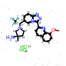 COc1cccc2ccc(-c3nnc4ccc([C@H](N5CCC(C)(N)C5)C(F)(F)F)cn34)nc12.Cl.Cl